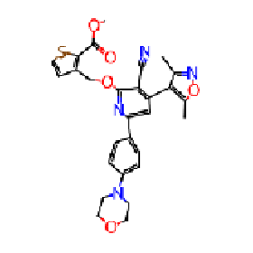 COC(=O)c1sccc1COc1nc(-c2ccc(N3CCOCC3)cc2)cc(-c2c(C)noc2C)c1C#N